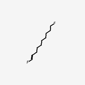 FC=CCCCCCCCCF